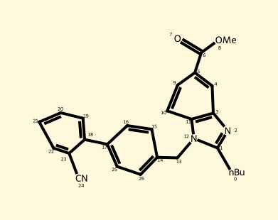 CCCCc1nc2cc(C(=O)OC)ccc2n1Cc1ccc(-c2ccccc2C#N)cc1